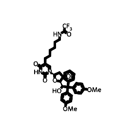 COc1ccc(C(c2ccccc2)(c2ccc(OC)cc2)C(O)[C@H]2O[C@@H](n3cc(CCCCCCNC(=O)C(F)(F)F)c(=O)[nH]c3=O)C[C@@H]2O)cc1